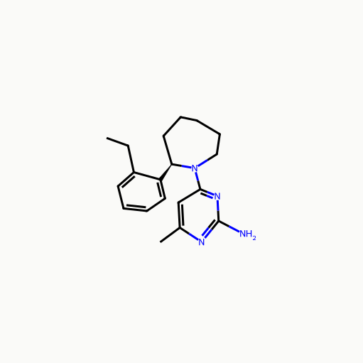 CCc1ccccc1[C@H]1CCCCCN1c1cc(C)nc(N)n1